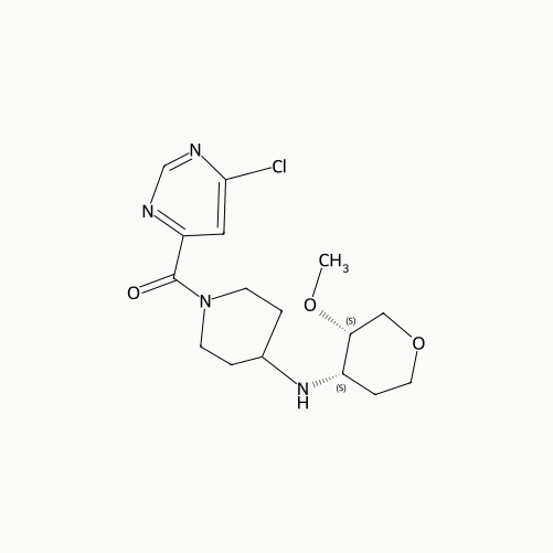 CO[C@@H]1COCC[C@@H]1NC1CCN(C(=O)c2cc(Cl)ncn2)CC1